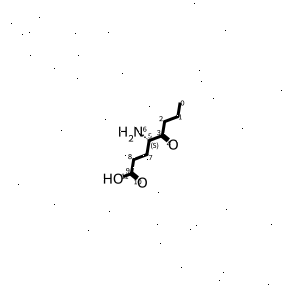 CCCC(=O)[C@@H](N)CCC(=O)O